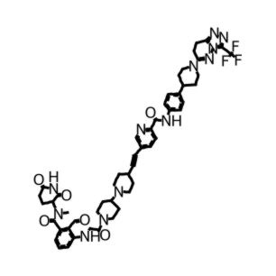 CN(C(=O)c1cccc(NCC(=O)N2CCC(N3CCC(C#Cc4ccc(C(=O)Nc5ccc(C6CCN(C7=Nn8c(nnc8C(F)(F)F)CC7)CC6)cc5)nc4)CC3)CC2)c1C=O)C1CCC(=O)NC1=O